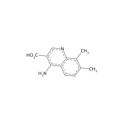 Cc1ccc2c(N)c(C(=O)O)cnc2c1C